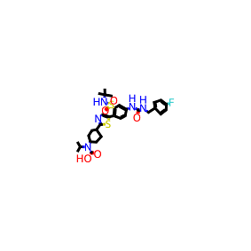 CC(C)N(C(=O)O)C1CCC(c2ncc(-c3ccc(NC(=O)NCc4ccc(F)cc4)cc3S(=O)(=O)NC(C)(C)C)s2)CC1